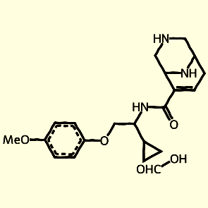 COc1ccc(OCC(NC(=O)C2=CCC3CNCC2N3)C2CC2)cc1.O=CO